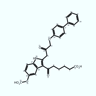 O=C(O)CCCCC(=O)c1c(CC(=O)COc2ccc(-c3ccccc3)cc2)[nH]c2ccc(OC(=O)O)cc12